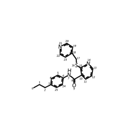 CCCc1ccc(NC(=O)c2cccnc2SCc2ccncc2)cc1